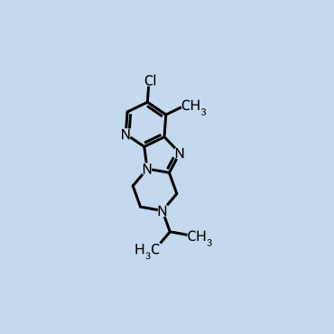 Cc1c(Cl)cnc2c1nc1n2CCN(C(C)C)C1